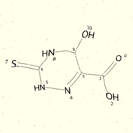 O=C(O)C1=NNC(=S)NC1O